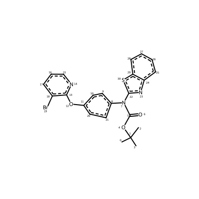 CC(C)(C)OC(=O)N(c1ccc(Oc2ncccc2Br)cc1)c1nc2ccccc2s1